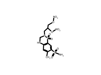 Cc1cc2c(cc1S(N)(=O)=O)S(=O)(=O)N(CC(CO[N+](=O)[O-])O[N+](=O)[O-])CN2